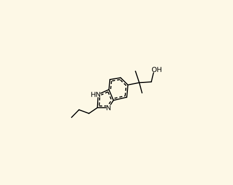 CCCc1nc2cc(C(C)(C)CO)ccc2[nH]1